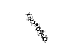 CC(C)(C)OC(=O)N[C@H]1CC[C@H](NC[C@H]2CC[C@H](NC(=O)OCc3ccccc3)CC2)CC1